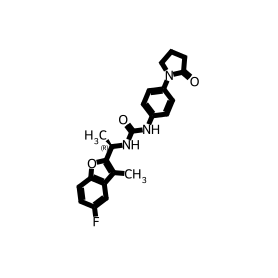 Cc1c([C@@H](C)NC(=O)Nc2ccc(N3CCCC3=O)cc2)oc2ccc(F)cc12